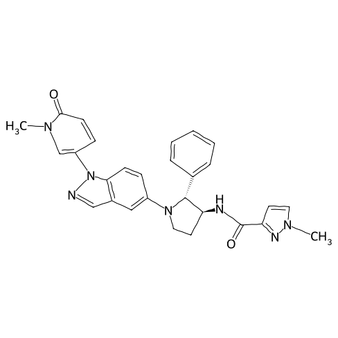 Cn1ccc(C(=O)N[C@H]2CCN(c3ccc4c(cnn4-c4ccc(=O)n(C)c4)c3)[C@@H]2c2ccccc2)n1